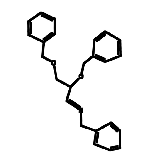 C(=NCc1ccccc1)C(COCc1ccccc1)OCc1ccccc1